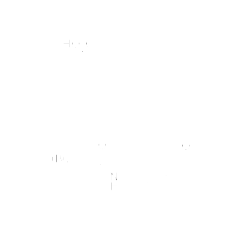 CC(=CC(=O)O)c1ccc(C2COc3c(C)c(C)c(NC(=O)CC(C)(C)C)c(C)c32)cc1